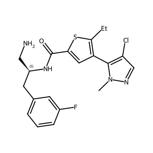 CCc1sc(C(=O)N[C@H](CN)Cc2cccc(F)c2)cc1-c1c(Cl)cnn1C